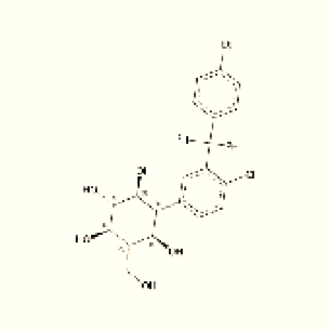 [2H]C([2H])(c1ccc(CC)cc1)c1cc([C@H]2[C@H](O)[C@@H](O)[C@H](O)[C@@H](CO)[C@@H]2O)ccc1Cl